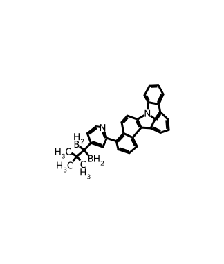 BC(B)(c1ccnc(-c2cccc3c2ccc2c3c3cccc4c5ccccc5n2c43)c1)C(C)(C)C